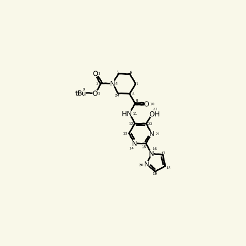 CC(C)(C)OC(=O)N1CCCC(C(=O)Nc2cnc(-n3cccn3)nc2O)C1